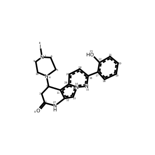 O=C1CC(N2CCN(I)CC2)c2c(cn3nc(-c4ccccc4O)ccc23)N1